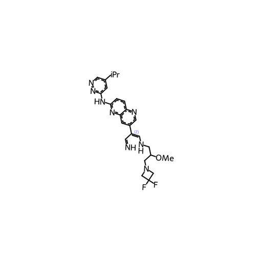 COC(CN/C=C(\C=N)c1cnc2ccc(Nc3cc(C(C)C)cnn3)nc2c1)CN1CC(F)(F)C1